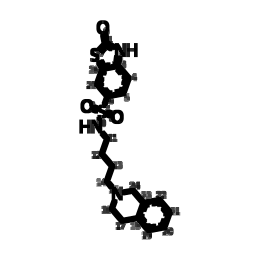 O=c1[nH]c2ccc(S(=O)(=O)NCCCCN3CCc4ccccc4C3)cc2s1